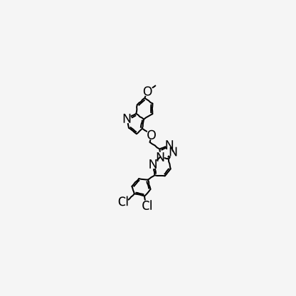 COc1ccc2c(OCc3nnc4ccc(-c5ccc(Cl)c(Cl)c5)nn34)ccnc2c1